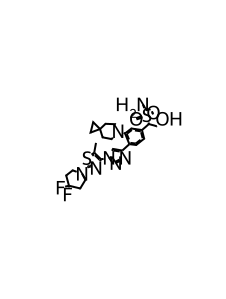 Cc1sc(N2CCC(F)(F)CC2)nc1-n1cc(-c2ccc(C(CO)S(N)(=O)=O)cc2N2CCC3(CC2)CC3)nn1